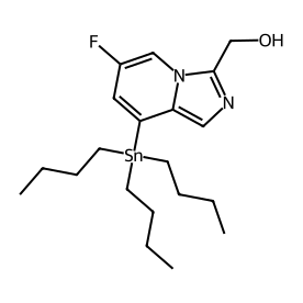 CCC[CH2][Sn]([CH2]CCC)([CH2]CCC)[c]1cc(F)cn2c(CO)ncc12